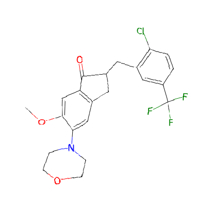 COc1cc2c(cc1N1CCOCC1)CC(Cc1cc(C(F)(F)F)ccc1Cl)C2=O